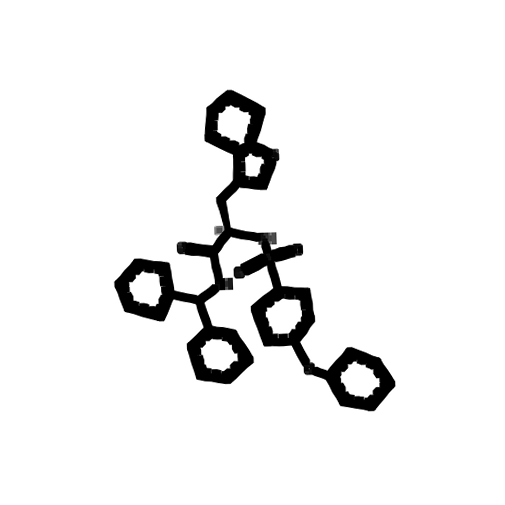 O=C(NC(c1ccccc1)c1ccccc1)[C@@H](Cc1csc2ccccc12)NS(=O)(=O)c1ccc(Oc2ccccc2)cc1